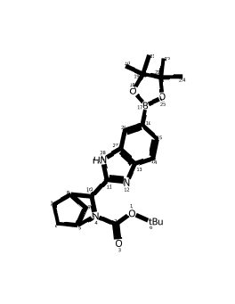 CC(C)(C)OC(=O)N1C2CCC(C2)C1c1nc2ccc(B3OC(C)(C)C(C)(C)O3)cc2[nH]1